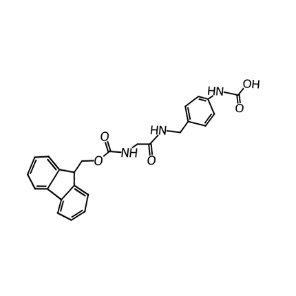 O=C(O)Nc1ccc(CNC(=O)CNC(=O)OCC2c3ccccc3-c3ccccc32)cc1